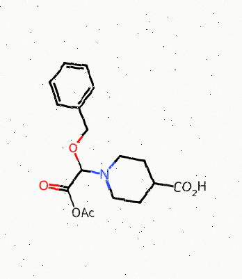 CC(=O)OC(=O)C(OCc1ccccc1)N1CCC(C(=O)O)CC1